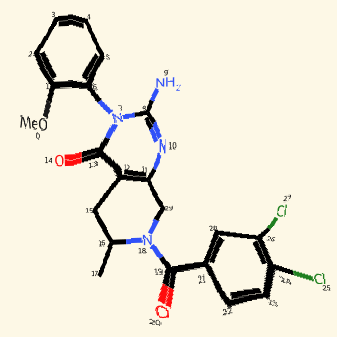 COc1ccccc1-n1c(N)nc2c(c1=O)CC(C)N(C(=O)c1ccc(Cl)c(Cl)c1)C2